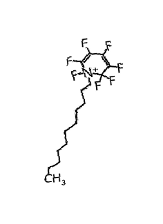 CCCCCCCCCCC[N+]1(F)C(F)=C(F)C(F)=C(F)C1(F)F